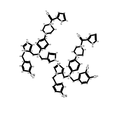 N#Cc1ccc(Cn2cncc2CN(Cc2ccc(Cl)c(Cl)c2)c2ccc(N3CCN(C(=O)c4cccs4)CC3)cc2)cc1.N#Cc1ccc(Cn2cncc2CN(Cc2ccsc2)c2ccc(N3CCN(C(=O)c4cccs4)CC3)cc2)cc1